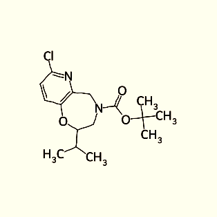 CC(C)C1CN(C(=O)OC(C)(C)C)Cc2nc(Cl)ccc2O1